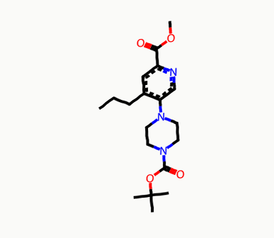 CCCc1cc(C(=O)OC)ncc1N1CCN(C(=O)OC(C)(C)C)CC1